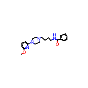 COc1cccc(N2CCN(CCCCNC(=O)c3ccccc3)CC2)n1